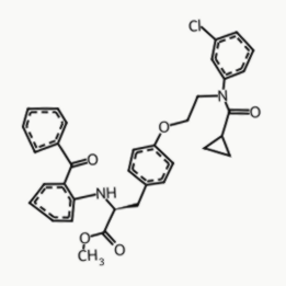 COC(=O)[C@H](Cc1ccc(OCCN(C(=O)C2CC2)c2cccc(Cl)c2)cc1)Nc1ccccc1C(=O)c1ccccc1